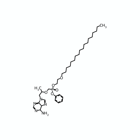 CCCCCCCCCCCCCCCCCCOCCOP(=O)(COC(C)CN1C=NC2C1=NC=NC2N)Oc1ccccc1